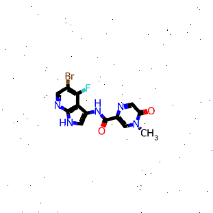 Cn1cc(C(=O)Nc2c[nH]c3ncc(Br)c(F)c23)ncc1=O